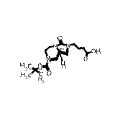 CC(C)(C)OC(=O)N1CCN2C(=O)N(CCCC(=O)O)C[C@@H]2C1